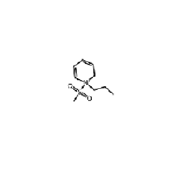 CCC[N+]1(S(C)(=O)=O)C=CC=CC1